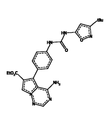 CCOC(=O)c1cn2ncnc(N)c2c1-c1ccc(NC(=O)Nc2cc(C(C)(C)C)no2)cc1